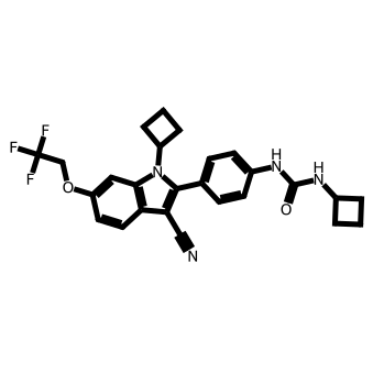 N#Cc1c(-c2ccc(NC(=O)NC3CCC3)cc2)n(C2CCC2)c2cc(OCC(F)(F)F)ccc12